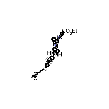 C=CC(=O)OCCCCCCOc1ccc(C(=O)Oc2ccc(C3Nc4cccc5c(/N=N/c6ccc(/N=N/c7ccc(C(=O)OCC)cc7)c7ccccc67)ccc(c45)N3)cc2)cc1